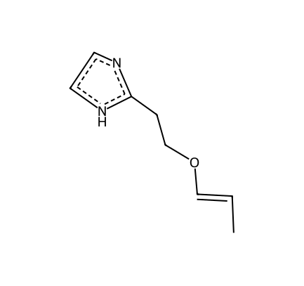 CC=COCCc1ncc[nH]1